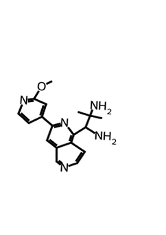 COc1cc(-c2cc3cnccc3c(C(N)C(C)(C)N)n2)ccn1